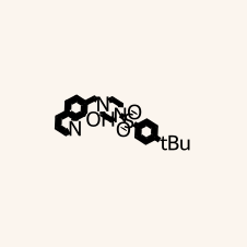 CC(C)(C)c1ccc(S(=O)(=O)N2CCN(Cc3ccc4cccnc4c3O)CC2)cc1